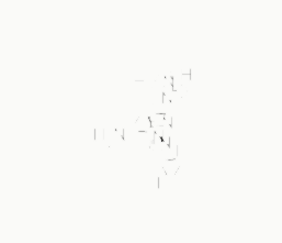 CN(C)C(=O)N1CCc2sc(N3N=C(c4cc(F)ccc4F)SC3(CCCN)c3ccccc3)nc2C1